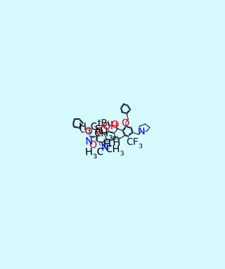 CN(C)[C@@H]1c2onc(OCc3ccccc3)c2C(=O)C2(O[Si](C)(C)C(C)(C)C)C(O)=C3C(=O)c4c(OCc5ccccc5)cc(CN5CCCC5)c(C(F)(F)F)c4C[C@H]3C[C@@H]12